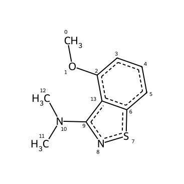 COc1cccc2snc(N(C)C)c12